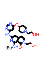 CC(C)(C)Nc1nc(Nc2cc(OC3CCN(CCO)CC3)ncn2)cc2ccn(CCO)c(=O)c12